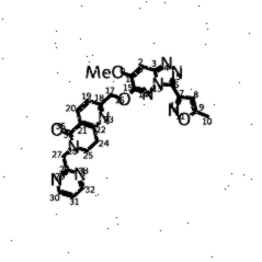 COc1cc2nnc(-c3cc(C)on3)n2nc1OCc1ccc2c(n1)CCN(Cc1ncccn1)C2=O